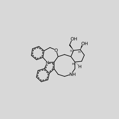 OC[C@@H]1C2CC3OCc4ccccc4-n4c3c(c3ccccc34)CCNC[C@@H]2CC[C@@H]1O